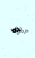 CCOC(=O)C(=O)C1COc2cc(I)ccc2C1=O